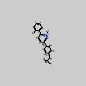 Cc1ccccc1-c1ccc(-c2ccc(CC(C)C)cc2)c[n+]1C